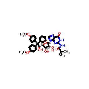 COc1ccc(C(c2ccccc2)(c2ccc(OC)cc2)C(O)[C@H]2O[C@@H](n3cnc4c(=O)[nH]c(NC(=O)C(C)C)nc43)[C@H](O)[C@@H]2O)cc1